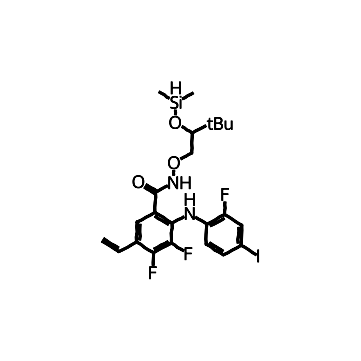 C=Cc1cc(C(=O)NOCC(O[SiH](C)C)C(C)(C)C)c(Nc2ccc(I)cc2F)c(F)c1F